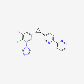 Fc1cc([C@@H]2C[C@H]2c2cnc(-c3ncccn3)nc2)cc(-n2ccnc2)c1F